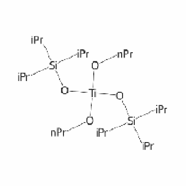 CCC[O][Ti]([O]CCC)([O][Si](C(C)C)(C(C)C)C(C)C)[O][Si](C(C)C)(C(C)C)C(C)C